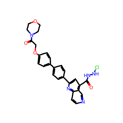 O=C(NNCl)c1cc(-c2ccc(-c3ccc(OCC(=O)N4CCOCC4)cc3)cc2)nc2ccncc12